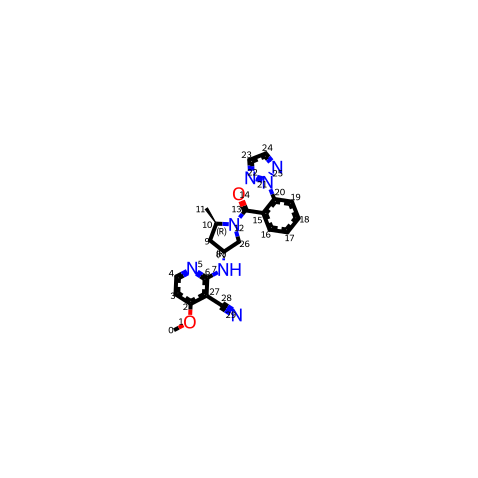 COc1ccnc(N[C@@H]2C[C@@H](C)N(C(=O)c3ccccc3-n3nccn3)C2)c1C#N